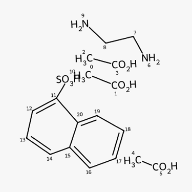 CC(=O)O.CC(=O)O.CC(=O)O.NCCN.O=S(=O)(O)c1cccc2ccccc12